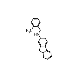 FC(F)(F)c1ccccc1CNc1ccc2c(c1)Cc1ccccc1-2